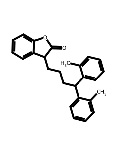 Cc1ccccc1C(CCCC1C(=O)Oc2ccccc21)c1ccccc1C